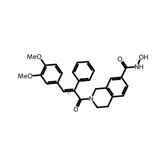 COc1ccc(/C=C(/C(=O)N2CCc3ccc(C(=O)NO)cc3C2)c2ccccc2)cc1OC